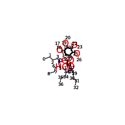 CCCCP(CCCC)[O][Ti]([OH])([O]c1cc(OC)c(OC)c(OC)c1OC)[O]P(CCCC)CCCC